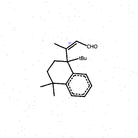 C/C(=C/C=O)C1(C(C)(C)C)CCC(C)(C)c2ccccc21